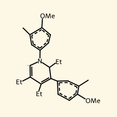 CCC1=[C]N(c2ccc(OC)c(C)c2)C(CC)C(c2ccc(OC)c(C)c2)=C1CC